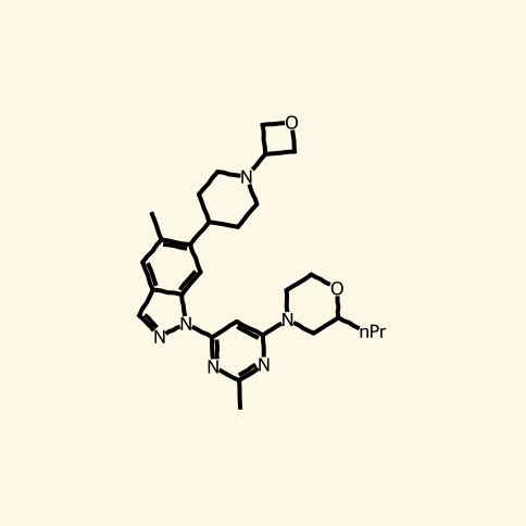 CCCC1CN(c2cc(-n3ncc4cc(C)c(C5CCN(C6COC6)CC5)cc43)nc(C)n2)CCO1